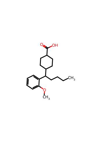 CCCCC(c1ccccc1OC)C1CCC(C(=O)O)CC1